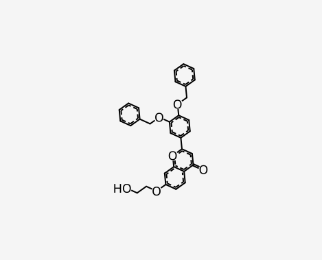 O=c1cc(-c2ccc(OCc3ccccc3)c(OCc3ccccc3)c2)oc2cc(OCCO)ccc12